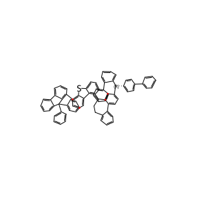 c1ccc(-c2ccc([C@H](c3ccc4c(c3)C(c3cccc5sc6c(-c7cccc8c7C(c7ccccc7)(c7ccccc7)c7ccccc7-8)cccc6c35)CCc3ccccc3-4)c3ccccc3-c3ccccc3)cc2)cc1